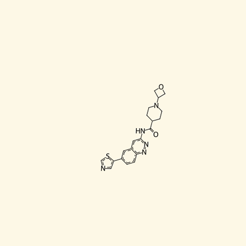 O=C(Nc1cc2cc(-c3cncs3)ccc2nn1)C1CCN(C2COC2)CC1